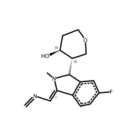 C=N/C=C1/c2ccc(F)cc2C([C@H]2COCC[C@@H]2O)N1C